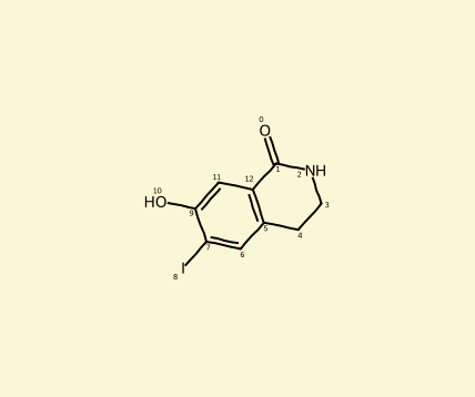 O=C1NCCc2cc(I)c(O)cc21